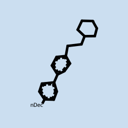 CCCCCCCCCCc1ccc(-c2ccc(CCC3CC[CH]CC3)cc2)cc1